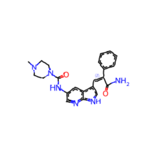 CN1CCN(C(=O)Nc2cnc3[nH]cc(/C=C(\C(N)=O)c4ccccc4)c3c2)CC1